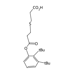 CC(C)(C)c1cccc(OC(=O)CCSCCC(=O)O)c1C(C)(C)C